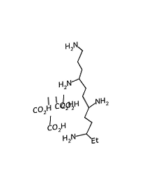 CC(=O)O.CC(=O)O.CC(=O)O.CC(=O)O.CCC(N)CCC(N)CCC(N)CCCN